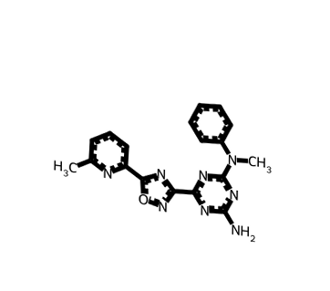 Cc1cccc(-c2nc(-c3nc(N)nc(N(C)c4ccccc4)n3)no2)n1